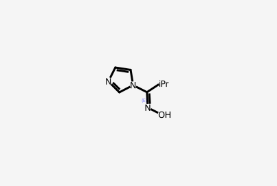 CC(C)/C(=N\O)n1ccnc1